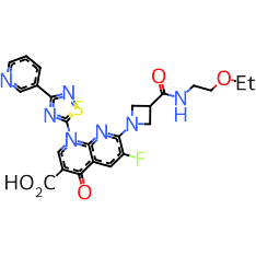 CCOCCNC(=O)C1CN(c2nc3c(cc2F)c(=O)c(C(=O)O)cn3-c2nc(-c3cccnc3)ns2)C1